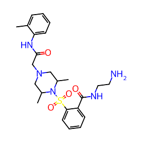 Cc1ccccc1NC(=O)CN1CC(C)N(S(=O)(=O)c2ccccc2C(=O)NCCN)C(C)C1